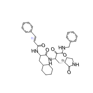 O=C(/C=C/c1ccccc1)NC(CC1CCCCC1)C(=O)NC(C[C@@H]1CCNC1=O)C(=O)C(=O)NCc1ccccc1